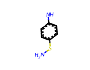 [NH]c1ccc(SN)cc1